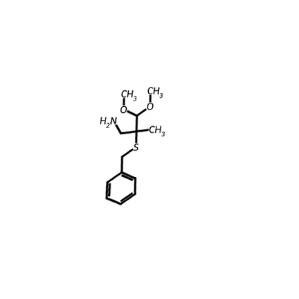 COC(OC)C(C)(CN)SCc1ccccc1